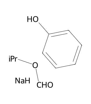 CC(C)OC=O.Oc1ccccc1.[NaH]